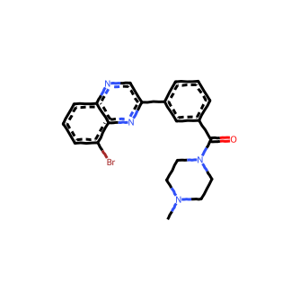 CN1CCN(C(=O)c2cccc(-c3cnc4cccc(Br)c4n3)c2)CC1